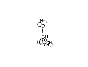 CC(C)(C)OC(=O)NCC#CC1CCc2c(N)cccc21